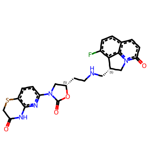 O=C1CSc2ccc(N3C[C@H](CCNC[C@H]4Cn5c(=O)ccc6ccc(F)c4c65)OC3=O)nc2N1